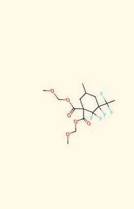 COCOC(=O)C1(C(=O)OCOC)CC(C)CC(F)(C(C)(F)F)C1(F)F